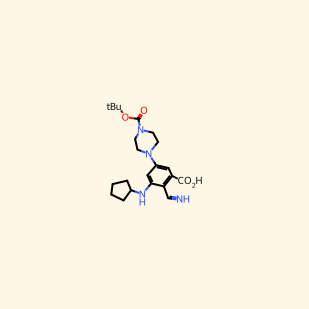 CC(C)(C)OC(=O)N1CCN(c2cc(NC3CCCC3)c(C=N)c(C(=O)O)c2)CC1